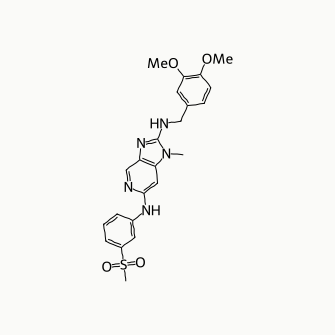 COc1ccc(CNc2nc3cnc(Nc4cccc(S(C)(=O)=O)c4)cc3n2C)cc1OC